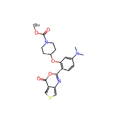 CN(C)c1ccc(-c2nc3cscc3c(=O)o2)c(OC2CCN(C(=O)OC(C)(C)C)CC2)c1